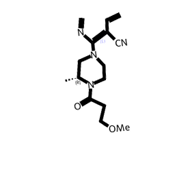 C=C/C(C#N)=C(\N=C)N1CCN(C(=O)CCOC)[C@H](C)C1